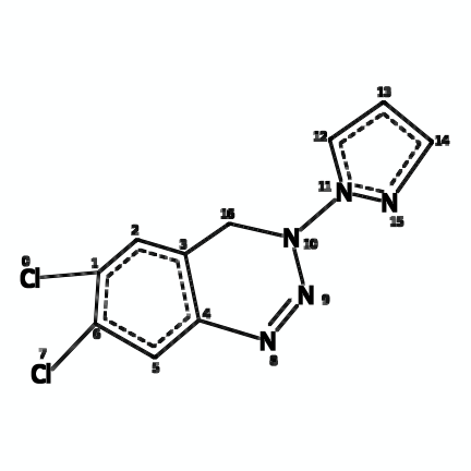 Clc1cc2c(cc1Cl)N=NN(n1cccn1)C2